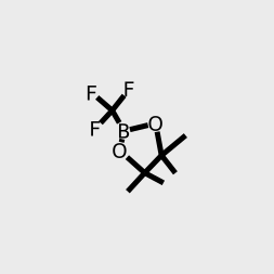 CC1(C)OB(C(F)(F)F)OC1(C)C